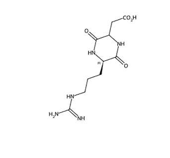 N=C(N)NCCC[C@H]1NC(=O)C(CC(=O)O)NC1=O